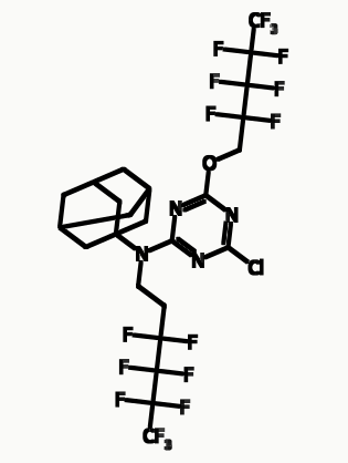 FC(F)(F)C(F)(F)C(F)(F)C(F)(F)CCN(c1nc(Cl)nc(OCC(F)(F)C(F)(F)C(F)(F)C(F)(F)F)n1)C12CC3CC(CC(C3)C1)C2